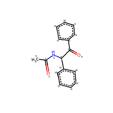 CC(=O)NC(C(=O)c1ccccc1)c1ccccc1